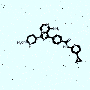 C[C@@H]1CC[C@@H](c2nc(-c3ccc(C(=O)Nc4cc(C5CC5)ccn4)cc3)c3c(N)nccn23)CN1